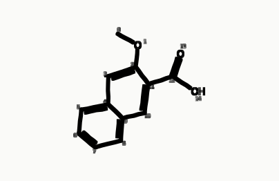 COc1[c]c2ccccc2cc1C(=O)O